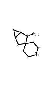 N[C@@H]1C2CC2CC12CCNCC2